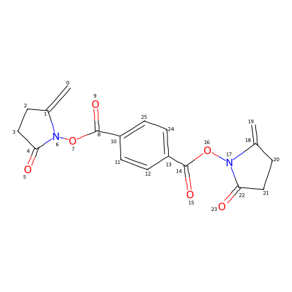 C=C1CCC(=O)N1OC(=O)c1ccc(C(=O)ON2C(=C)CCC2=O)cc1